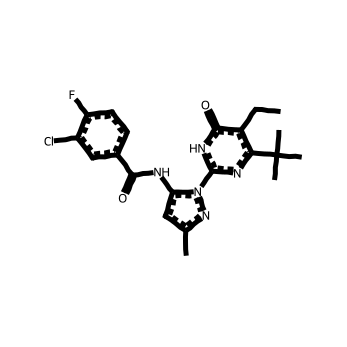 CCc1c(C(C)(C)C)nc(-n2nc(C)cc2NC(=O)c2ccc(F)c(Cl)c2)[nH]c1=O